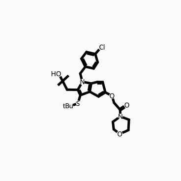 CC(C)(O)Cc1c(SC(C)(C)C)c2cc(OCC(=O)N3CCOCC3)ccc2n1Cc1ccc(Cl)cc1